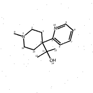 CN1CCC(c2ccccn2)(C(C)(C)O)CC1